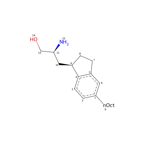 CCCCCCCCc1ccc2c(c1)CC[C@@H]2C[C@H](N)CO